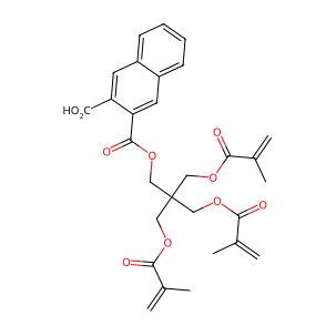 C=C(C)C(=O)OCC(COC(=O)C(=C)C)(COC(=O)C(=C)C)COC(=O)c1cc2ccccc2cc1C(=O)O